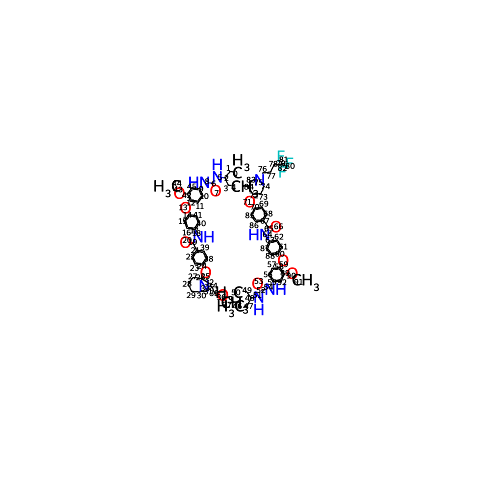 CCC(CC)NC(=O)Nc1ccc(Oc2ccc(NC(=O)c3ccc(OC45CCCC(CC4)N5CCOC)cc3)cc2)c(OC)c1.CCC(CC)NC(=O)Nc1ccc(Oc2ccc(NC(=O)c3ccc(OC4CCN(CCCC(F)(F)F)CC4)cc3)cc2)c(OC)c1